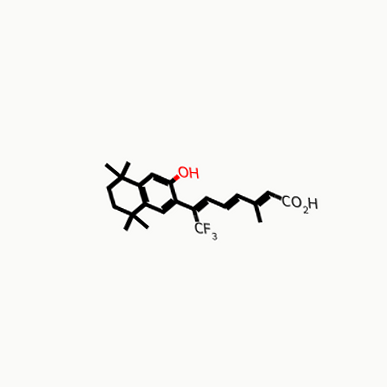 CC(/C=C/C=C(/c1cc2c(cc1O)C(C)(C)CCC2(C)C)C(F)(F)F)=C\C(=O)O